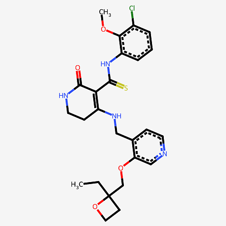 CCC1(COc2cnccc2CNC2=C(C(=S)Nc3cccc(Cl)c3OC)C(=O)NCC2)CCO1